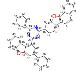 C1=c2oc3c(ccc4ccccc43)c2=CCC1c1nc(-c2ccccc2)nc(-c2cc(-c3ccccc3)cc3oc4ccccc4c23)n1